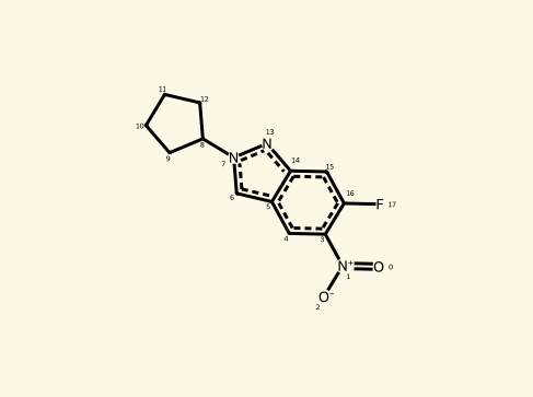 O=[N+]([O-])c1cc2cn(C3CCCC3)nc2cc1F